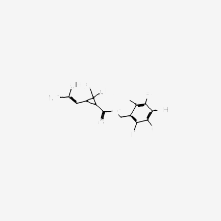 Cc1c(F)c(F)c(COC(=O)C2C(C=C(Cl)C#N)C2(C)C)c(F)c1F